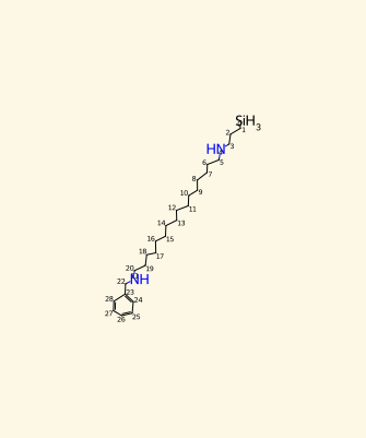 [SiH3]CCCNCCCCCCCCCCCCCCCCNCc1ccccc1